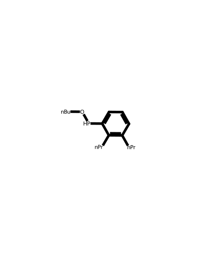 CCCCOPc1cccc(CCC)c1CCC